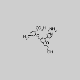 Cc1ccc(CC(=O)O)c(OCc2cc(-c3ccnc(CN)c3)c3oc(CCO)cc3c2)c1